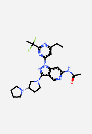 CCc1cc(-n2nc(N3CC[C@H](N4CCCC4)C3)c3cnc(NC(C)=O)cc32)nc(C(C)(F)F)n1